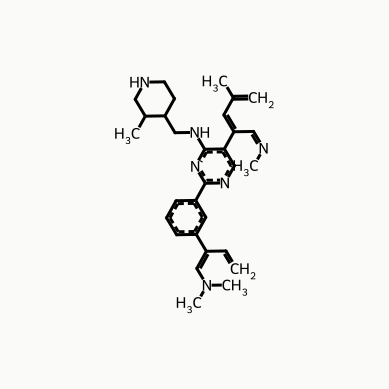 C=C/C(=C\N(C)C)c1cccc(-c2ncc(C(/C=N\C)=C/C(=C)C)c(NCC3CCNCC3C)n2)c1